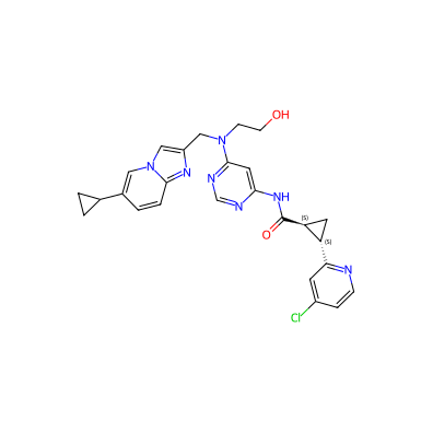 O=C(Nc1cc(N(CCO)Cc2cn3cc(C4CC4)ccc3n2)ncn1)[C@H]1C[C@@H]1c1cc(Cl)ccn1